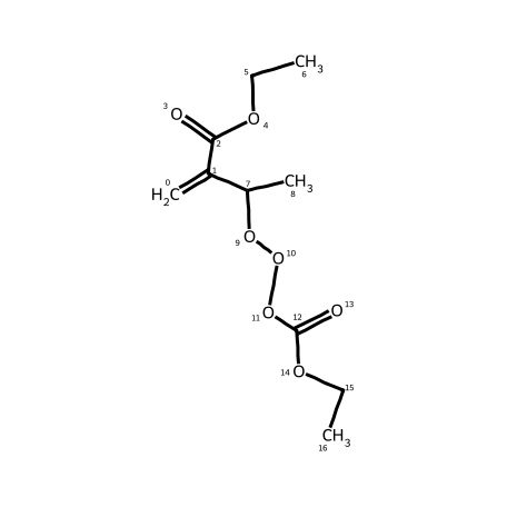 C=C(C(=O)OCC)C(C)OOOC(=O)OCC